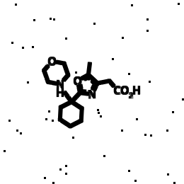 C1COCCN1.Cc1oc(C2(C)CCCCC2)nc1CC(=O)O